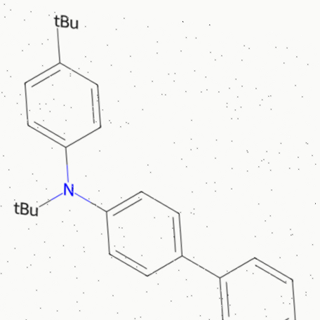 CC(C)(C)c1ccc(N(c2ccc(-c3ccccc3)cc2)C(C)(C)C)cc1